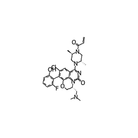 C=CC(=O)N1C[C@H](C)N(c2nc(=O)n3c4c(c(-c5c(O)cccc5F)c(Cl)cc24)OC[C@H]3CN(C)C)C[C@H]1C